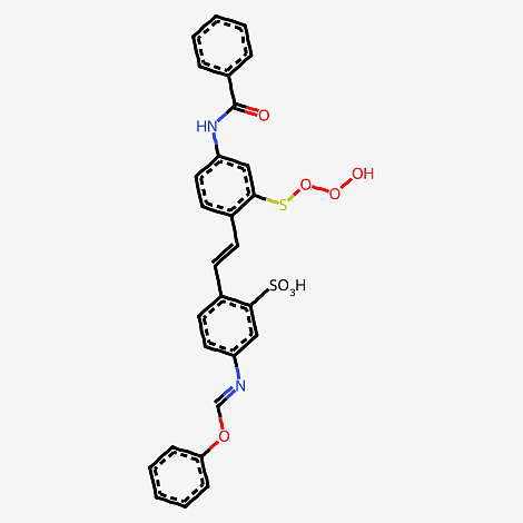 O=C(Nc1ccc(C=Cc2ccc(/N=C/Oc3ccccc3)cc2S(=O)(=O)O)c(SOOO)c1)c1ccccc1